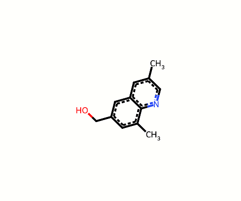 Cc1cnc2c(C)cc(CO)cc2c1